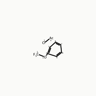 CC(=O)Cl.FC(F)(F)Oc1ccccc1